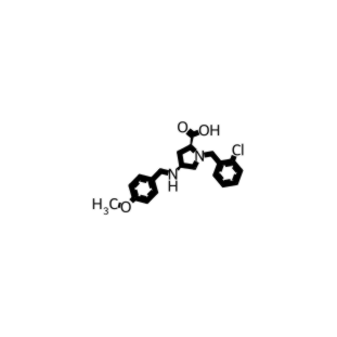 COc1ccc(CN[C@H]2C[C@@H](C(=O)O)N(Cc3ccccc3Cl)C2)cc1